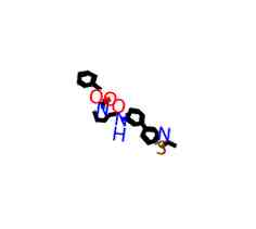 Cc1nc2cc(-c3cccc(NC(=O)C4CCCN4C(=O)OCc4ccccc4)c3)ccc2s1